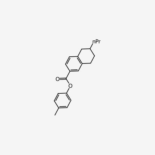 CCCC1CCc2cc(C(=O)Oc3ccc(C)cc3)ccc2C1